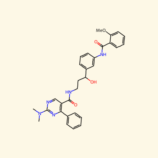 COc1ccccc1C(=O)Nc1cccc(C(O)CCNC(=O)c2cnc(N(C)C)nc2-c2ccccc2)c1